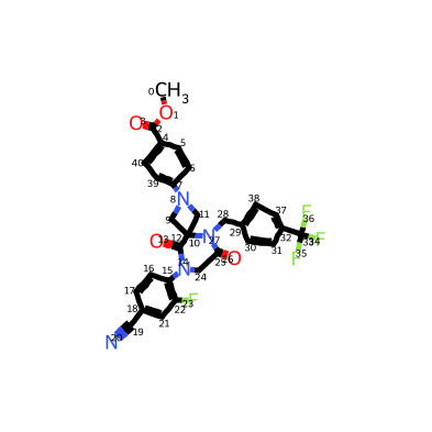 COC(=O)c1ccc(N2CC3(C2)C(=O)N(c2ccc(C#N)cc2F)CC(=O)N3Cc2ccc(C(F)(F)F)cc2)cc1